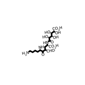 NCCCC[C@H](N)C(=O)C([C]=O)C[C@H](NC(=O)[C@@H](O)[C@H](O)[C@H](O)[C@@H](O)C(=O)O)C(=O)O